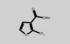 [CH2]OC(=O)c1ccoc1C(F)(F)F